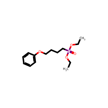 CCOP(=O)(CCCCOc1cc[c]cc1)OCC